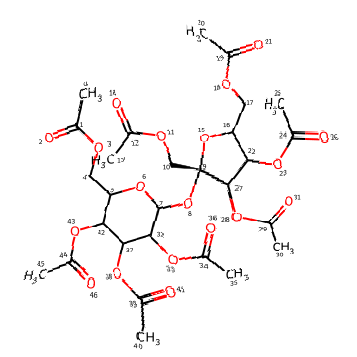 CC(=O)OCC1OC(O[C@]2(COC(C)=O)OC(COC(C)=O)C(OC(C)=O)C2OC(C)=O)C(OC(C)=O)C(OC(C)=O)C1OC(C)=O